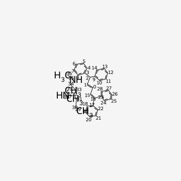 C(=CC(c1ccccc1)c1ccccc1)C=C(c1ccccc1)c1ccccc1.CCCCCCNC.CNC